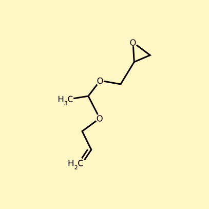 C=CCOC(C)OCC1CO1